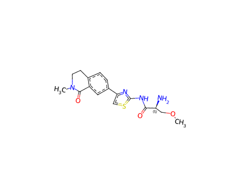 COC[C@H](N)C(=O)Nc1nc(-c2ccc3c(c2)C(=O)N(C)CC3)cs1